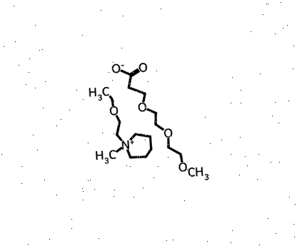 CCOCC[N+]1(C)CCCCC1.COCCOCCOCCC(=O)[O-]